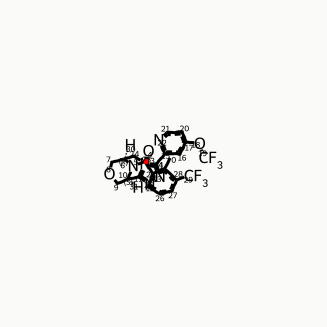 Cc1c(C(=O)N2[C@H]3COC[C@@H]2c2nnc(-c4cc(OC(F)(F)F)ccn4)n2C3)cccc1C(F)(F)F